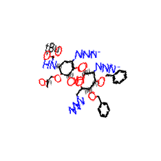 CC(C)(C)OC(=O)N[C@@H]1CC(N=[N+]=[N-])C(O[C@H]2OC(CN=[N+]=[N-])[C@@H](OCc3ccccc3)[C@H](OCc3ccccc3)C2N=[N+]=[N-])[C@H](O)C1OC[C@H]1CO1